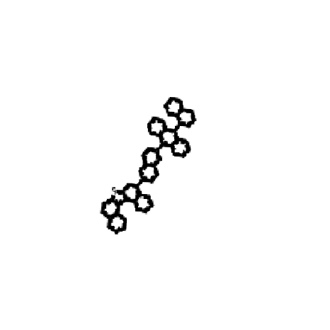 c1ccc2c(-c3c4ccccc4c(-c4ccc5cc(-c6cc7sc8ccc9ccccc9c8c7c7ccccc67)ccc5c4)c4ccccc34)cccc2c1